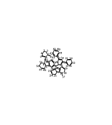 CC1CCCC=C1n1c2c(c3cc(S(C4=C[C@H](C)CC=C4)(C4=CC=CCC4)C4C=C(c5ccccc5)C=C(c5ccccc5)C4)ccc31)C=CCC2